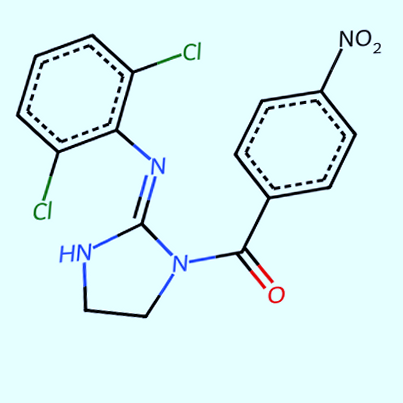 O=C(c1ccc([N+](=O)[O-])cc1)N1CCNC1=Nc1c(Cl)cccc1Cl